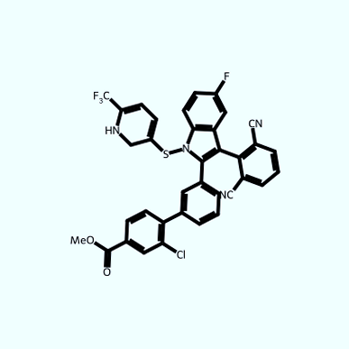 COC(=O)c1ccc(-c2cccc(-c3c(-c4c(C#N)cccc4C#N)c4cc(F)ccc4n3SC3=CC=C(C(F)(F)F)NC3)c2)c(Cl)c1